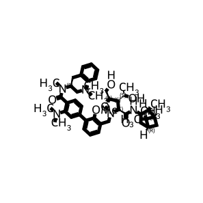 COc1c(CN2O[C@@H](CO)[C@H]([C@H](C)O)[C@H]2C(=O)NC2C[C@H]3C[C@@H]([C@@H]2C)C3(C)C)cccc1-c1ccc(C(=O)N(C)[C@@H](Cc2ccccc2)CN(C)C)c(N(C)C)c1